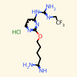 Cl.N=C(N)CCCCOc1nccc(NC(N)=NCC(F)(F)F)n1